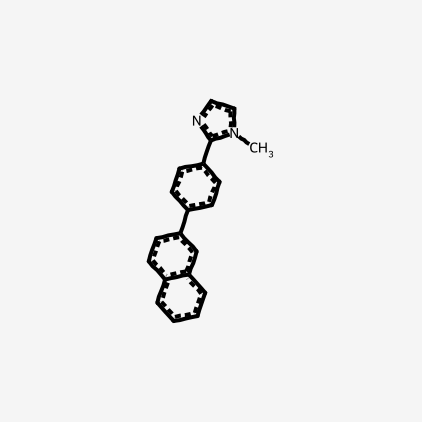 Cn1ccnc1-c1ccc(-c2ccc3ccccc3c2)cc1